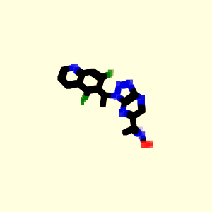 C/C(=N\O)c1cnc2nnn(C(C)c3c(F)cc4ncccc4c3F)c2n1